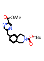 COC(=O)c1cnc(Cc2ccc3c(c2)CCN(C(=O)OC(C)(C)C)CC3)cn1